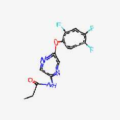 CCC(=O)Nc1cnc(Oc2cc(F)c(F)cc2F)cn1